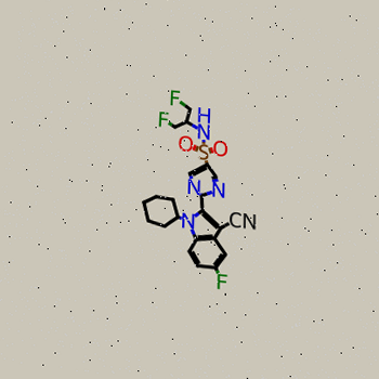 N#Cc1c(-c2ncc(S(=O)(=O)NC(CF)CF)cn2)n(C2CCCCC2)c2ccc(F)cc12